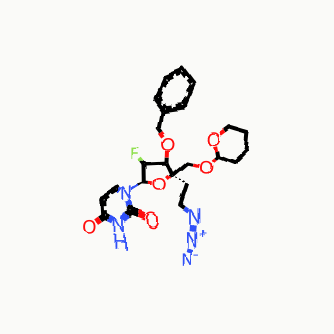 [N-]=[N+]=NCC[C@]1(COC2CCCCO2)O[C@@H](n2ccc(=O)[nH]c2=O)C(F)C1OCc1ccccc1